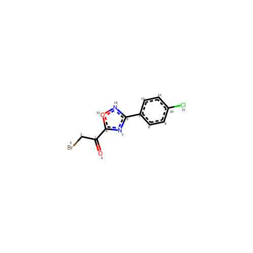 O=C(CBr)c1nc(-c2ccc(Cl)cc2)no1